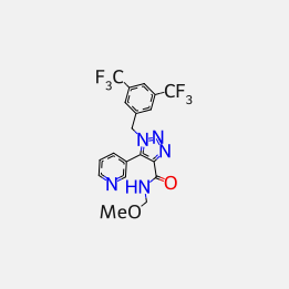 COCNC(=O)c1nnn(Cc2cc(C(F)(F)F)cc(C(F)(F)F)c2)c1-c1cccnc1